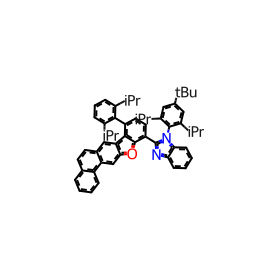 CC(C)c1cccc(C(C)C)c1-c1ccc(-c2nc3ccccc3n2-c2c(C(C)C)cc(C(C)(C)C)cc2C(C)C)c2oc3cc4c(ccc5ccccc54)cc3c12